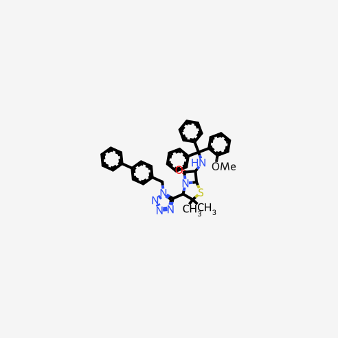 COc1ccccc1C(NC1C(=O)N2C1SC(C)(C)C2c1nnnn1Cc1ccc(-c2ccccc2)cc1)(c1ccccc1)c1ccccc1